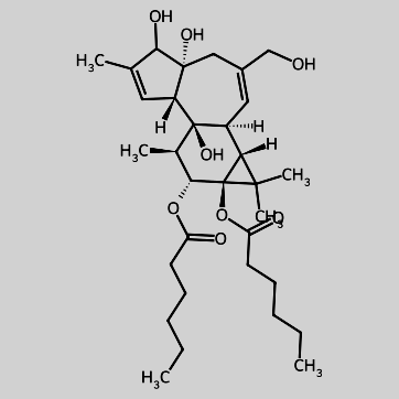 CCCCCC(=O)O[C@@H]1[C@@H](C)[C@@]2(O)[C@@H](C=C(CO)C[C@]3(O)C(O)C(C)=C[C@@H]23)[C@@H]2C(C)(C)[C@]12OC(=O)CCCCC